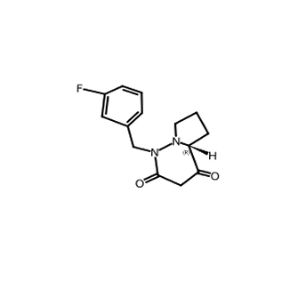 O=C1CC(=O)N(Cc2cccc(F)c2)N2CCC[C@H]12